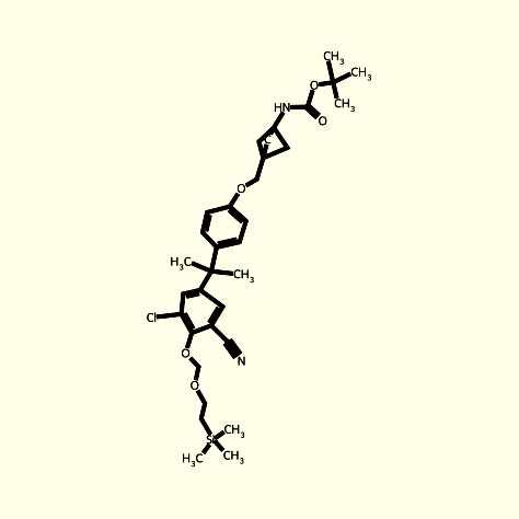 CC(C)(C)OC(=O)NC12CC(COc3ccc(C(C)(C)c4cc(Cl)c(OCOCC[Si](C)(C)C)c(C#N)c4)cc3)(C1)C2